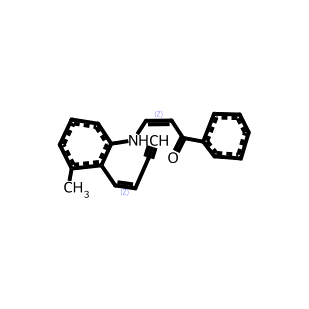 C#C/C=C\c1c(C)cccc1N/C=C\C(=O)c1ccccc1